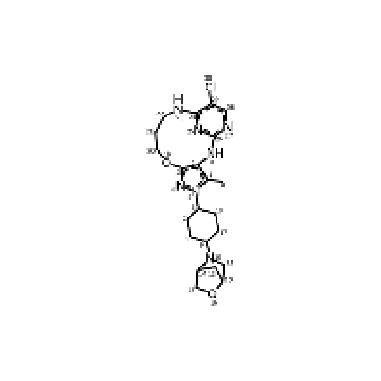 Cc1c2c(nn1C1CCC(N3CC4CC3CO4)CC1)OCCCNc1nc(ncc1Cl)N2